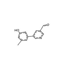 Cc1cc(O)cc(-c2cncc(C=O)c2)c1